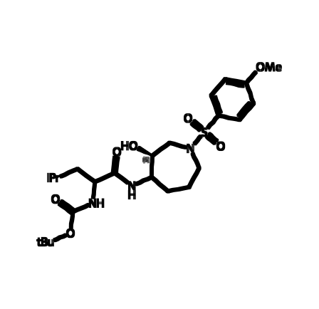 COc1ccc(S(=O)(=O)N2CCCC(NC(=O)C(CC(C)C)NC(=O)OC(C)(C)C)[C@@H](O)C2)cc1